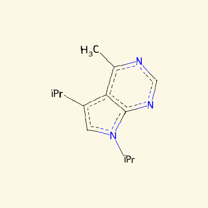 Cc1ncnc2c1c(C(C)C)cn2C(C)C